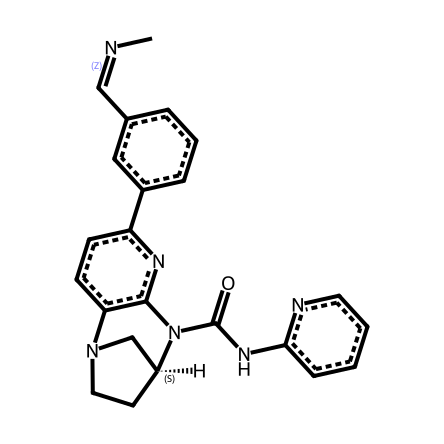 C/N=C\c1cccc(-c2ccc3c(n2)N(C(=O)Nc2ccccn2)[C@H]2CCN3C2)c1